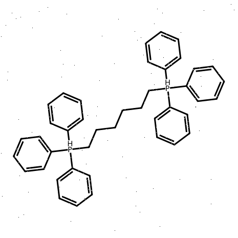 c1ccc([PH](CCCCCC[PH](c2ccccc2)(c2ccccc2)c2ccccc2)(c2ccccc2)c2ccccc2)cc1